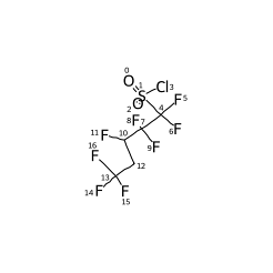 O=S(=O)(Cl)C(F)(F)C(F)(F)C(F)CC(F)(F)F